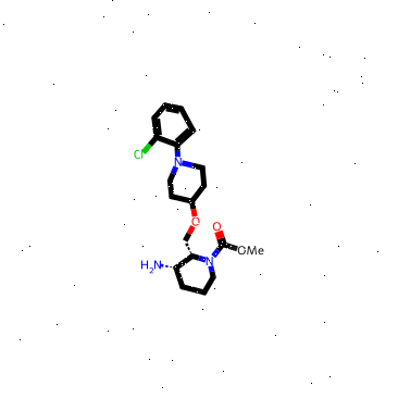 COC(=O)N1CCC[C@H](N)[C@@H]1COC1CCN(c2ccccc2Cl)CC1